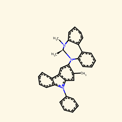 Cc1cc2c(cc1N1c3ccccc3-c3ccccc3N(C)[C@@H]1C)c1ccccc1n2-c1ccccc1